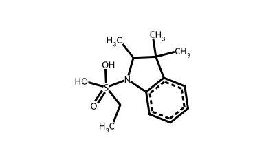 CCS(=O)(O)(O)N1c2ccccc2C(C)(C)C1C